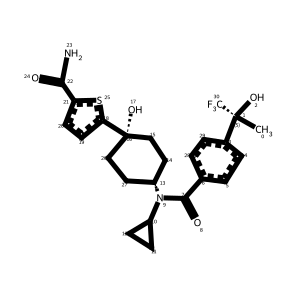 C[C@](O)(c1ccc(C(=O)N(C2CC2)[C@H]2CC[C@](O)(c3ccc(C(N)=O)s3)CC2)cc1)C(F)(F)F